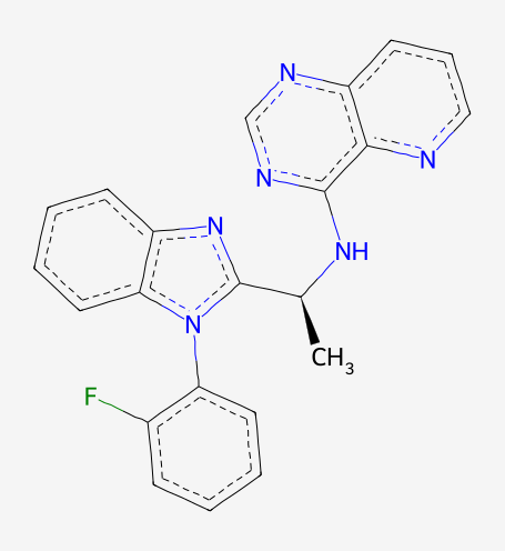 C[C@H](Nc1ncnc2cccnc12)c1nc2ccccc2n1-c1ccccc1F